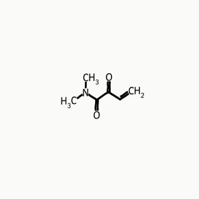 C=CC(=O)C(=O)N(C)C